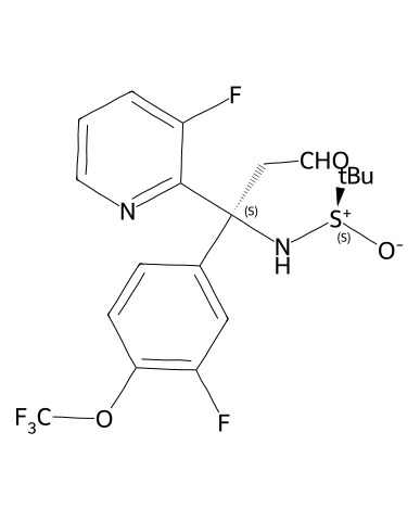 CC(C)(C)[S@@+]([O-])N[C@@](CC=O)(c1ccc(OC(F)(F)F)c(F)c1)c1ncccc1F